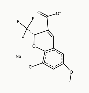 COc1cc(Cl)c2c(c1)C=C(C(=O)[O-])[C@@H](C(F)(F)F)O2.[Na+]